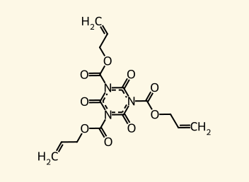 C=CCOC(=O)n1c(=O)n(C(=O)OCC=C)c(=O)n(C(=O)OCC=C)c1=O